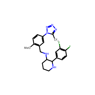 COc1ccc(-n2nnnc2C(F)(F)F)cc1CNC1CCCNC1c1ccc(F)c(F)c1